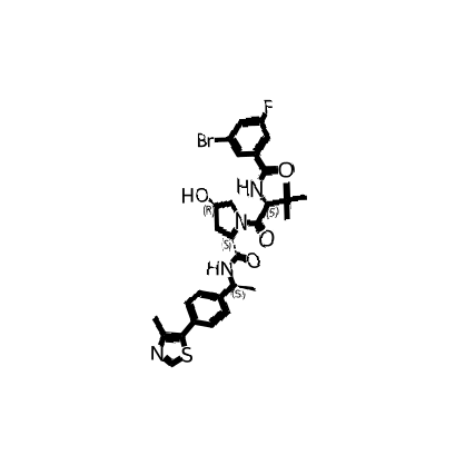 Cc1ncsc1-c1ccc([C@H](C)NC(=O)[C@@H]2C[C@@H](O)CN2C(=O)[C@@H](NC(=O)c2cc(F)cc(Br)c2)C(C)(C)C)cc1